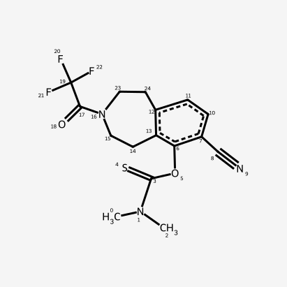 CN(C)C(=S)Oc1c(C#N)ccc2c1CCN(C(=O)C(F)(F)F)CC2